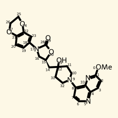 COc1ccc2nccc(N3CCC(O)(C[C@H]4CN(c5ccc6c(c5)OCCO6)C(=O)O4)CC3)c2n1